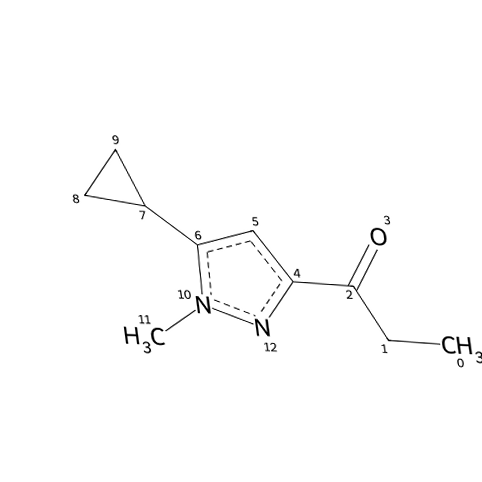 CCC(=O)c1cc(C2CC2)n(C)n1